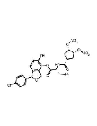 Cc1ncc2c(c1OC(=O)[C@@H](CC(C)C)NC(=O)[C@@H]1C[C@H](O[N+](=O)[O-])[C@H](O[N+](=O)[O-])C1)COC2c1ccc(Cl)cc1